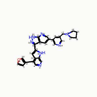 c1cc(-c2cncc3[nH]c(-c4n[nH]c5ncc(-c6cncc(CN7CCCC7)c6)cc45)cc23)co1